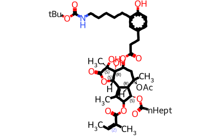 C/C=C(/C)C(=O)OC1C(C)=C2[C@H]([C@@H]1OC(=O)CCCCCCC)[C@@](C)(OC(C)=O)CC(OC(=O)CCc1ccc(O)c(CCCCCNC(=O)OC(C)(C)C)c1)[C@@]1(O)[C@H]2OC(=O)[C@@]1(C)O